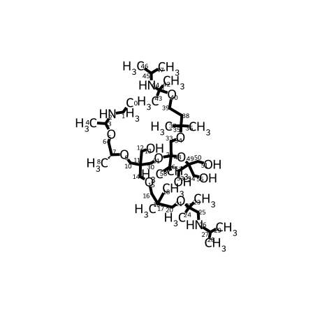 CCNC(C)OC[C@@H](C)OCC(CO)(COCC(C)(C)COC(C)(C)CNC(C)C)COC(COC(C)(C)CCOC(C)(C)NC(C)C)(OC(CO)(CO)CO)C(C)C